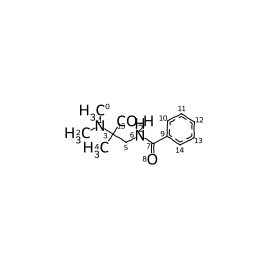 CN(C)C(C)(CNC(=O)c1ccccc1)C(=O)O